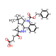 CC1(C)CC2C(NC3(C(=O)CCC(=O)O)CC3)c3ccccc3N(C(=O)OCc3ccccc3)C2C1